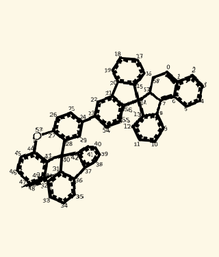 C1=c2ccccc2=C2c3ccccc3C3(c4ccccc4-c4cc(-c5ccc6c(c5)C5(c7ccccc7-c7ccccc75)c5c(ccc7ccccc57)O6)ccc43)C2C1